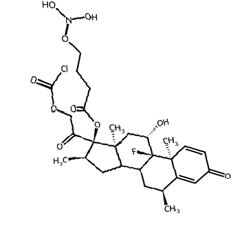 C[C@@H]1CC2C3C[C@H](C)C4=CC(=O)C=C[C@]4(C)[C@@]3(F)[C@@H](O)C[C@]2(C)[C@@]1(OC(=O)CCCON(O)O)C(=O)COC(=O)Cl